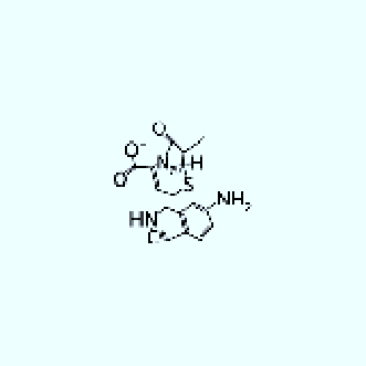 CC1C(=O)N2C(C(=O)[O-])=CCS[C@@H]12.Nc1ccc2c(c1)CN[C+]=C2